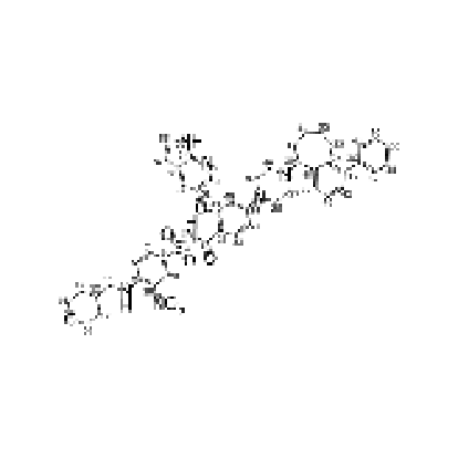 O=C(NS(=O)(=O)c1ccc(NCC2CCOCC2)c([N+](=O)[O-])c1)c1ccc(N2CCN(C3CCCCc4c(-c5ccccc5)cccc43)CC2)cc1Oc1cnc2[nH]ccc2c1